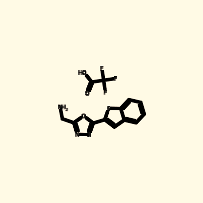 NCc1nnc(-c2cc3ccccc3s2)o1.O=C(O)C(F)(F)F